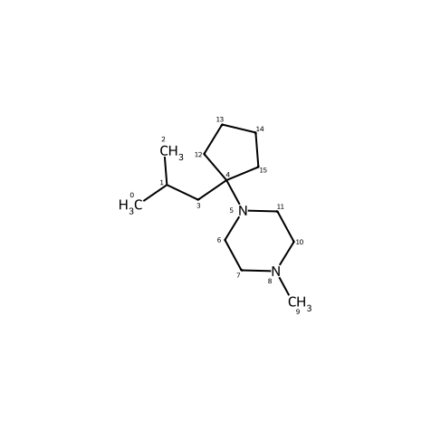 CC(C)CC1(N2CCN(C)CC2)CCCC1